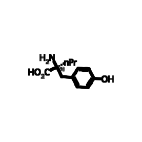 CCC[C@](N)(Cc1ccc(O)cc1)C(=O)O